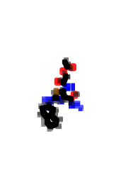 CC(=O)OCC(=O)Nc1sc(Nc2ccc3ccccc3c2)nc1C(N)=O